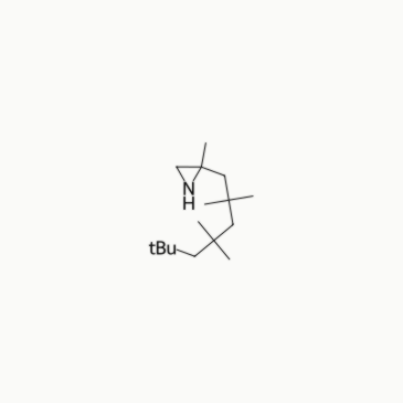 CC(C)(C)CC(C)(C)CC(C)(C)CC1(C)CN1